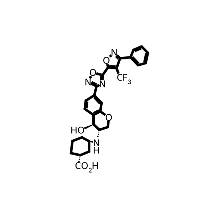 O=C(O)[C@@H]1CCC[C@H](N[C@H]2COc3cc(-c4noc(-c5onc(-c6ccccc6)c5C(F)(F)F)n4)ccc3[C@@H]2O)C1